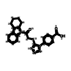 O=C(O)c1ccc(-n2nnnc2SCC(=O)n2c3c(c4ccccc42)CCCC3)cc1